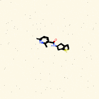 Cc1ccc(C(=O)NC2Cc3ccsc3C2)c(C)n1